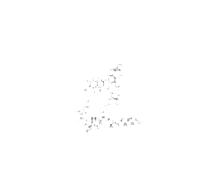 CCc1c2c(nc3cc(F)c(C)c(CCCCOCNC(=O)[C@H](C)NC(=O)[C@@H](NC(=O)[C@H](CCC(=O)NC[C@H](O)[C@@H](O)[C@H](O)[C@H](O)CO)NC(=O)CCCCCN4C(=O)C=CC4=O)C(C)C)c13)-c1cc3c(c(=O)n1C2)COC(=O)[C@]3(O)CC